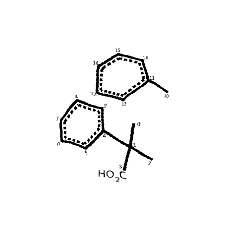 CC(C)(C(=O)O)c1ccccc1.Cc1ccccc1